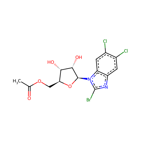 CC(=O)OC[C@@H]1O[C@H](n2c(Br)nc3cc(Cl)c(Cl)cc32)[C@@H](O)[C@H]1O